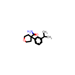 CC(C)c1cccc(C2(C(N)=O)CCOCC2)c1